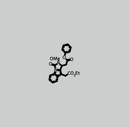 CCOC(=O)Cc1c2n(c3ccccc13)C(=O)N(OC)C2CC(=O)Oc1ccccc1